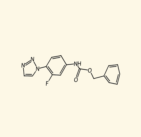 O=C(Nc1ccc(-n2ccnn2)c(F)c1)OCc1ccccc1